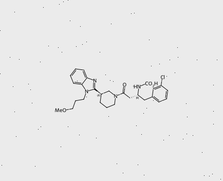 COCCCn1c([C@@H]2CCCN(C(=O)C[C@@H](Cc3cccc(Cl)c3)NC(=O)O)C2)nc2ccccc21